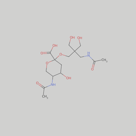 CC(=O)NCC(CO)(CO)COC1(C(=O)O)CC(O)C(NC(C)=O)CO1